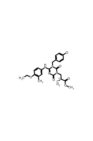 CCOc1ccc(Nc2nc(=O)n(C[C@H](C)C(=O)OC)c(=O)n2Cc2ccc(Cl)cc2)cc1C